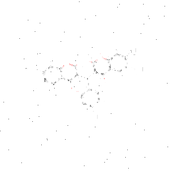 Cc1ccc(C(c2c(O)c3cc(C)c(C)cc3oc2=O)c2c(O)c3cc(C)c(C)cc3oc2=O)cc1